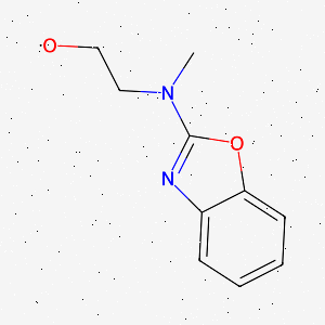 CN(CC[O])c1nc2ccccc2o1